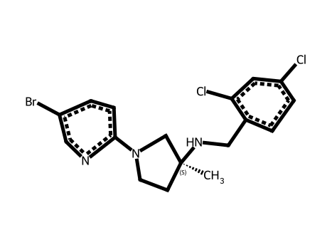 C[C@]1(NCc2ccc(Cl)cc2Cl)CCN(c2ccc(Br)cn2)C1